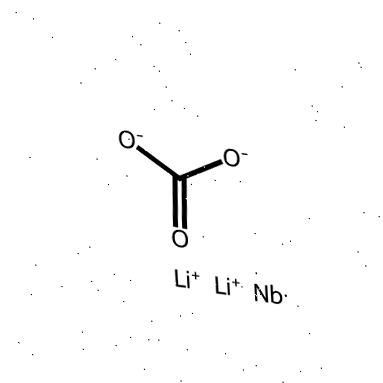 O=C([O-])[O-].[Li+].[Li+].[Nb]